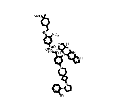 COC1(C)CCC(CNc2ccc(S(=O)(=O)NC(=O)c3ccc(N4CCC5(CC4)CC(N4CCC[C@H]4c4ccccc4C(C)C)C5)cc3N3c4cc5cc[nH]c5nc4O[C@H]4COC[C@H]43)cc2[N+](=O)[O-])CC1